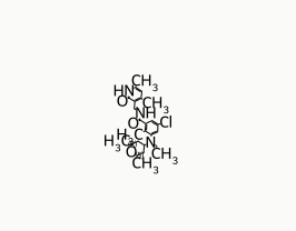 CCN(c1cc(Cl)cc(C(=O)NCc2c(C)cc(C)[nH]c2=O)c1C)C1C[C@@H](C)O[C@@H](C)C1